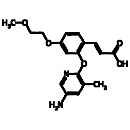 COCCOc1ccc(C=CC(=O)O)c(Oc2ncc(N)cc2C)c1